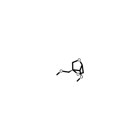 COC[C@]12COC(CO1)C2OC